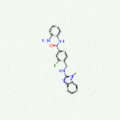 Cn1c(NCc2ccc(C(=O)Nc3ccccc3N)cc2F)nc2ccccc21